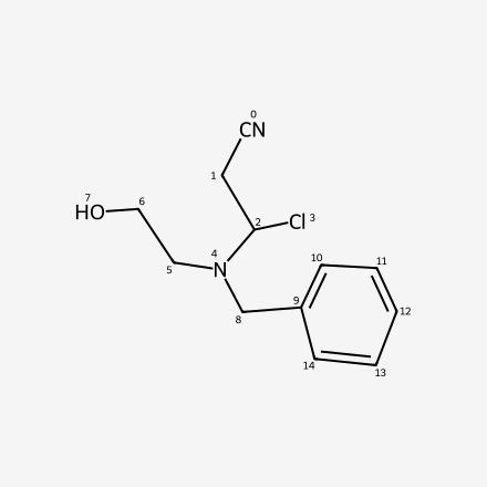 N#CCC(Cl)N(CCO)Cc1ccccc1